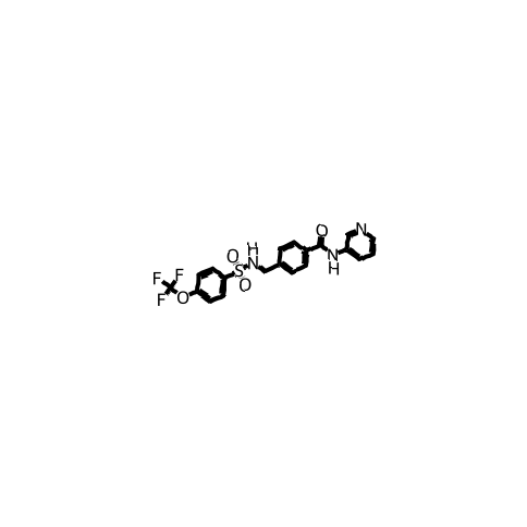 O=C(Nc1cccnc1)c1ccc(CNS(=O)(=O)c2ccc(OC(F)(F)F)cc2)cc1